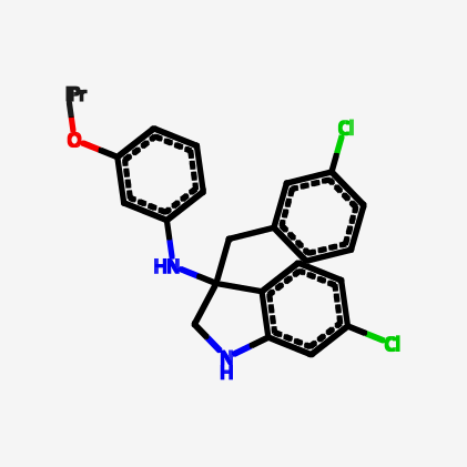 CC(C)Oc1cccc(NC2(Cc3cccc(Cl)c3)CNc3cc(Cl)ccc32)c1